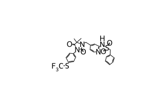 CC1(C)C(=O)N(c2ccc(SC(F)(F)F)cc2)C(=O)N1Cc1ccnc(NS(=O)(=O)Cc2ccccc2)c1